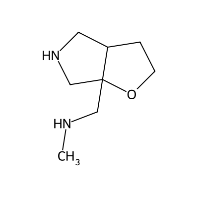 CNCC12CNCC1CCO2